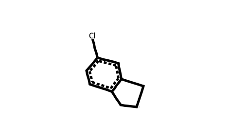 Clc1ccc2c(c1)C[CH]C2